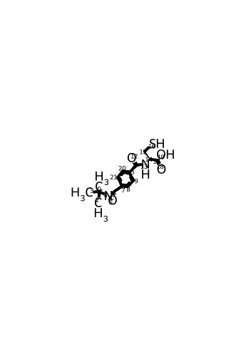 CC(C)(C)N1OC1c1ccc(C(=O)N[C@@H](CS)C(=O)O)cc1